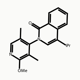 COc1ncc(C)c(-n2cc(C(C)C)c3ccccc3c2=O)c1C